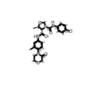 Cc1cc(NC(=O)[C@H]2[C@@H](C)OCN2C(=O)Nc2ccc(Cl)cc2)ccc1N1CCOCC1=O